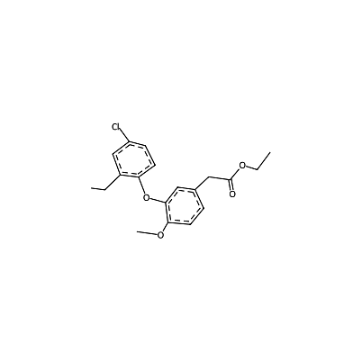 CCOC(=O)Cc1ccc(OC)c(Oc2ccc(Cl)cc2CC)c1